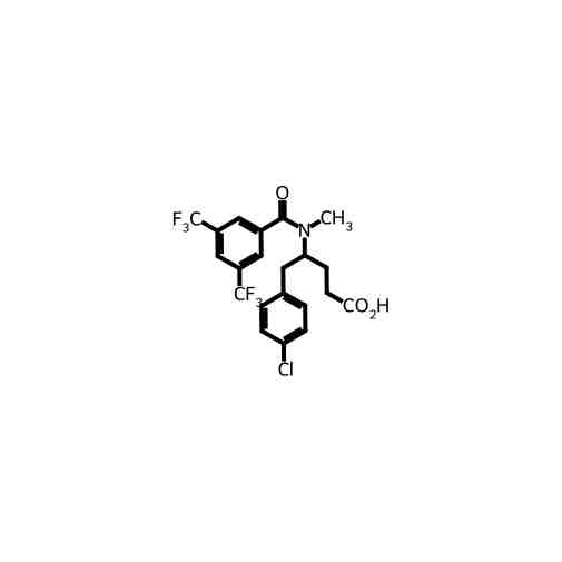 CN(C(=O)c1cc(C(F)(F)F)cc(C(F)(F)F)c1)C(CCC(=O)O)Cc1ccc(Cl)cc1